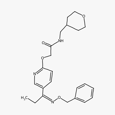 CCC(=NOCc1ccccc1)c1ccc(OCC(=O)NCC2CCOCC2)nc1